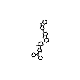 c1ccc(N(c2ccccc2)c2ccc3c(c2)oc2ccc(-c4cccc5c4oc4cc(-c6ccc7oc8ccccc8c7c6)ccc45)cc23)cc1